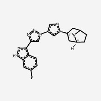 CN1C2CC[C@H]1CC(n1cc(-n3cc(-c4n[nH]c5cc(F)ccc45)nn3)cn1)C2